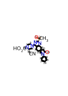 C[S+]([O-])c1nc2c(c(N3CCN(C(=O)O)[C@@H](CC#N)C3)n1)CCC1(CC(=O)N(c3ccccc3)C1)C2